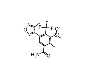 Cc1nonc1-c1cc(C(N)=O)c(C)c([S+](C)[O-])c1C(F)(F)F